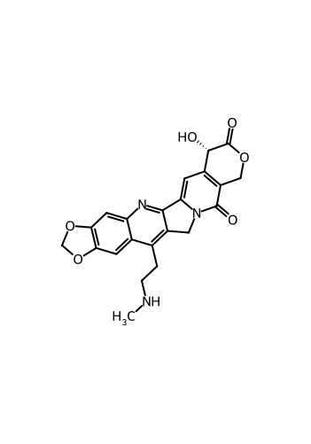 CNCCc1c2c(nc3cc4c(cc13)OCO4)-c1cc3c(c(=O)n1C2)COC(=O)[C@H]3O